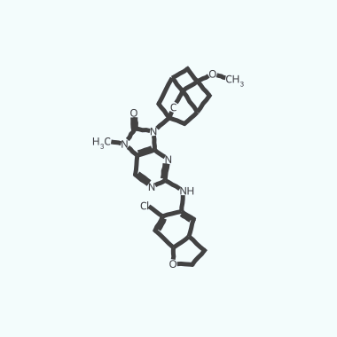 COC12CC3CC4(n5c(=O)n(C)c6cnc(NC7=CC8CCOC8C=C7Cl)nc65)CC(C1)C32C4